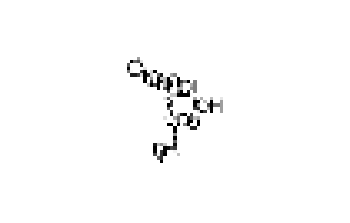 C/C(=C\C=C\[C@H](C)c1cccnc1)[C@H]1OC(=O)C[C@H](O)CC[C@@](C)(O)[C@@H](OC(=O)N2CCN(C3CCCCCC3)CC2)/C=C/[C@@H]1C